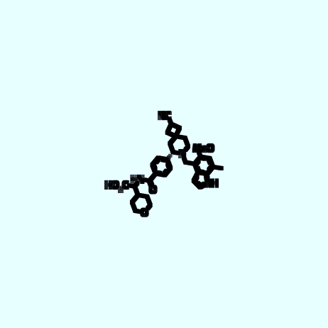 COc1cc(C)c2[nH]ccc2c1CN1CCC2(CC(C#N)C2)C[C@H]1c1ccc(C(=O)NC(C(=O)O)C2CCOCC2)cc1